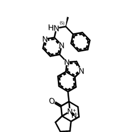 C[C@H](Nc1nccc(-n2cnc3cc(C45CCC6CCCC6(C4=O)[N+]5=[N-])ccc32)n1)c1ccccc1